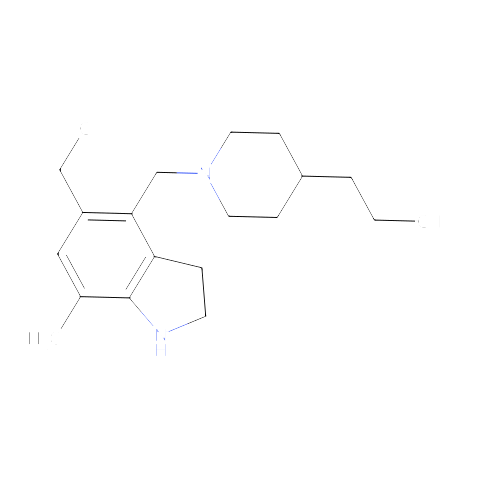 CCCC1CCN(Cc2c(CC)cc(C)c3c2CCN3)CC1